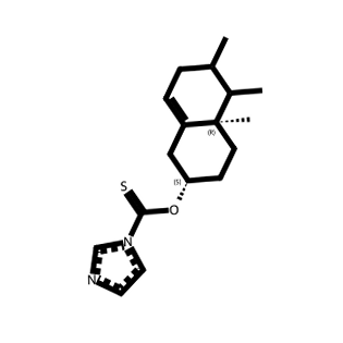 CC1CC=C2C[C@@H](OC(=S)n3ccnc3)CC[C@]2(C)C1C